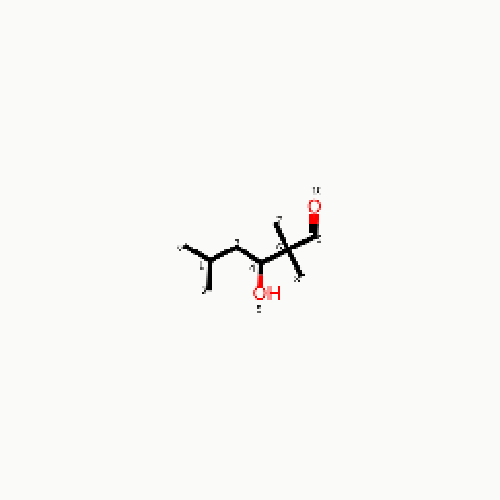 CC(C)CC(O)C(C)(C)C=O